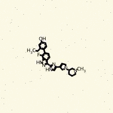 CCc1cc(O)ccc1-c1ccc2c(-c3nc(C4=CCN(C5CCCN(C)C5)C4)c[nH]3)n[nH]c2c1F